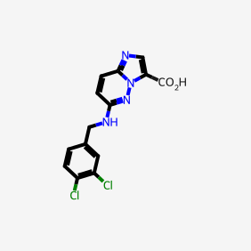 O=C(O)c1cnc2ccc(NCc3ccc(Cl)c(Cl)c3)nn12